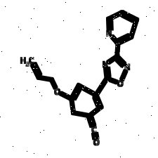 C=CCOC1=CC(c2nc(-c3ccccn3)no2)=CC(=C=O)C1